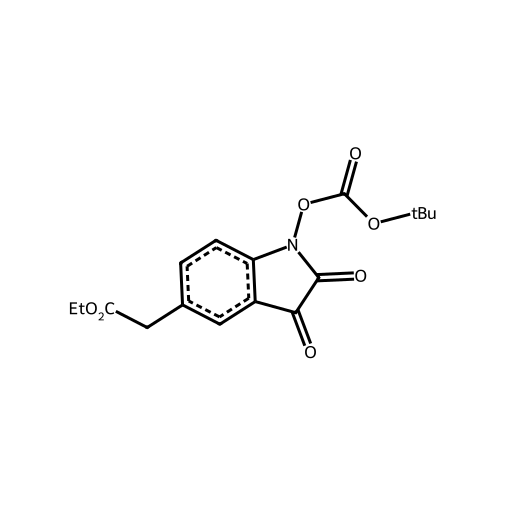 CCOC(=O)Cc1ccc2c(c1)C(=O)C(=O)N2OC(=O)OC(C)(C)C